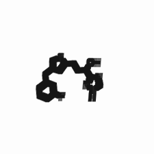 OC(CCc1cc(Cc2cccc(F)c2)cs1)c1nc[nH]n1